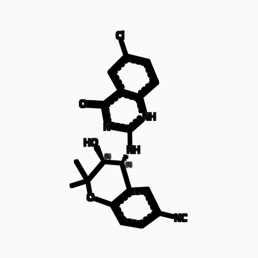 [C-]#[N+]c1ccc2c(c1)[C@@H](Nc1nc(=O)c3cc(Cl)ccc3[nH]1)[C@H](O)C(C)(C)O2